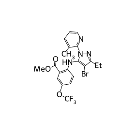 CCc1nn(-c2ncccc2C)c(Nc2ccc(OC(F)(F)F)cc2C(=O)OC)c1Br